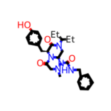 CCC(CC)N1CC2N(C(=O)CN(C)N2C(=O)NCc2ccccc2)[C@@H](Cc2ccc(O)cc2)C1=O